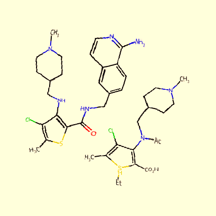 CC[SH]1C(C)=C(Cl)C(N(CC2CCN(C)CC2)C(C)=O)=C1C(=O)O.Cc1sc(C(=O)NCc2ccc3c(N)nccc3c2)c(NCC2CCN(C)CC2)c1Cl